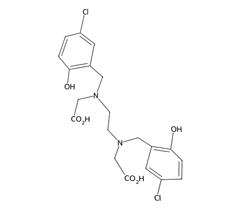 O=C(O)CN(CCN(CC(=O)O)Cc1cc(Cl)ccc1O)Cc1cc(Cl)ccc1O